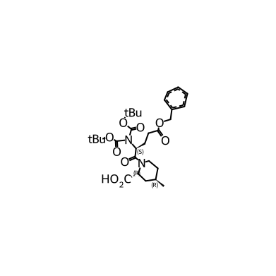 C[C@@H]1CCN(C(=O)[C@H](CCC(=O)OCc2ccccc2)N(C(=O)OC(C)(C)C)C(=O)OC(C)(C)C)[C@@H](C(=O)O)C1